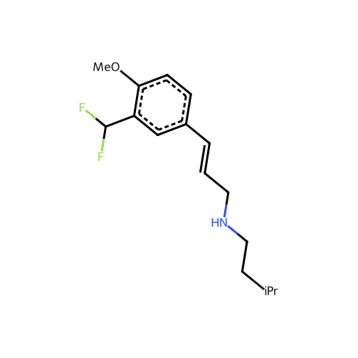 COc1ccc(C=CCNCCC(C)C)cc1C(F)F